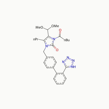 CCCCC(=O)n1c(C(OC)OC)c(CCC)n(Cc2ccc(-c3ccccc3-c3nnn[nH]3)cc2)c1=O